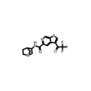 O=C(NC1CN2CCC1C2)c1cc2c(C(=O)C(F)(F)F)csc2cn1